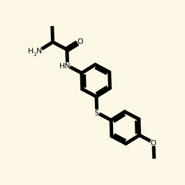 COc1ccc(Sc2cccc(NC(=O)C(C)N)c2)cc1